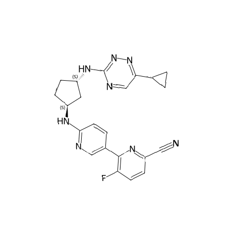 N#Cc1ccc(F)c(-c2ccc(N[C@H]3CC[C@H](Nc4ncc(C5CC5)nn4)C3)nc2)n1